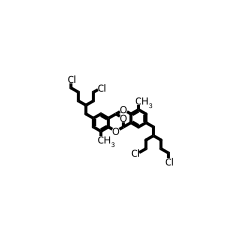 Cc1cc(CC(CCCl)CCCCl)cc2c1OC1OC2Oc2c(C)cc(CC(CCCl)CCCCl)cc21